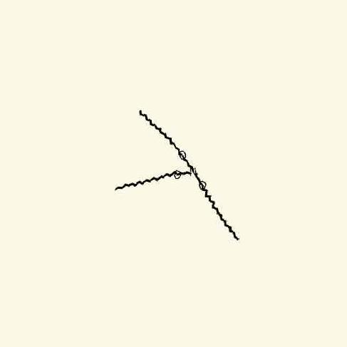 CCCCCCCCCCCCCCCCCCOCCCCN(CCCCOCCCCCCCCCCCCCCCCCC)CCCCOCCCCCCCCCCCCCCCCCC